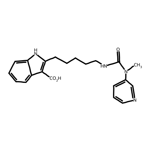 CN(C(=O)NCCCCCc1[nH]c2ccccc2c1C(=O)O)c1cccnc1